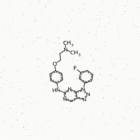 CN(C)CCOc1ccc(Nc2ncc3nnn(-c4cccc(F)c4)c3n2)cc1